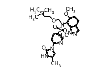 COc1ccc2cnn(C)c2c1N(COCC[Si](C)(C)C)S(=O)(=O)c1ccc(-n2cc(C)[nH]c2=O)nc1